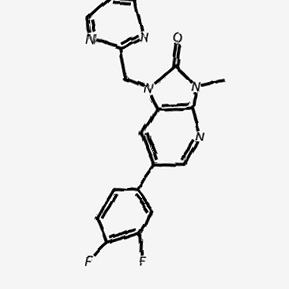 Cn1c(=O)n(Cc2ncccn2)c2cc(-c3ccc(F)c(F)c3)cnc21